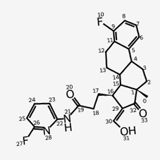 C[C@]12CCC3c4cccc(F)c4CCC3C1[C@H](CCC(=O)Nc1cccc(F)n1)/C(=C/O)C2=O